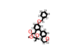 COC(=O)C(OC(C)(C)C)c1ccc(OCc2ccccc2)cc1-c1ccc2c(c1)CCCO2